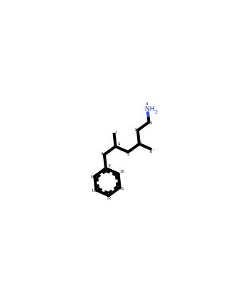 [CH2]C(CCN)CC(C)Cc1ccccc1